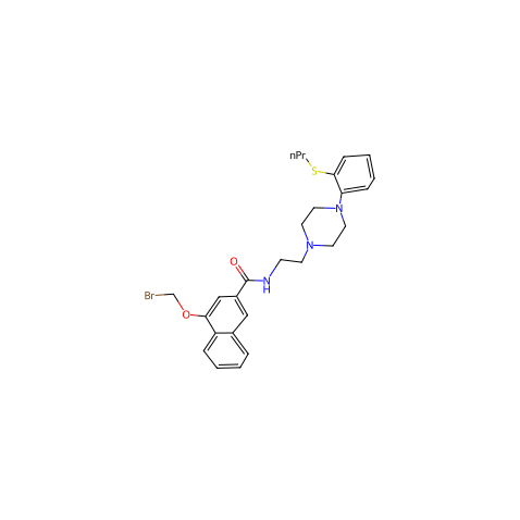 CCCSc1ccccc1N1CCN(CCNC(=O)c2cc(OCBr)c3ccccc3c2)CC1